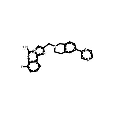 Nc1nc2c(F)cccc2c2nc(CN3CCc4cc(-c5cnccn5)ccc4C3)cn12